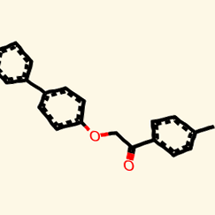 Cc1ccc(C(=O)COc2ccc(-c3ccccc3)cc2)cc1